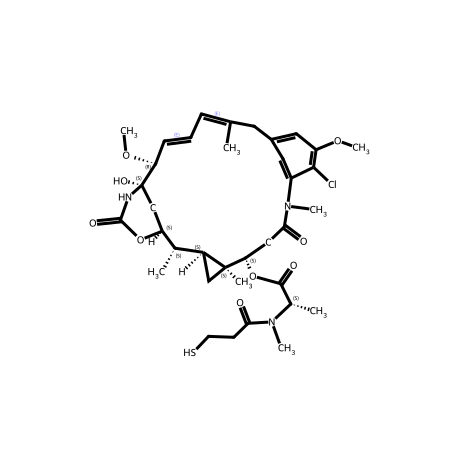 COc1cc2cc(c1Cl)N(C)C(=O)C[C@H](OC(=O)[C@H](C)N(C)C(=O)CCS)[C@@]1(C)C[C@H]1[C@H](C)[C@@H]1C[C@@](O)(NC(=O)O1)[C@H](OC)/C=C/C=C(\C)C2